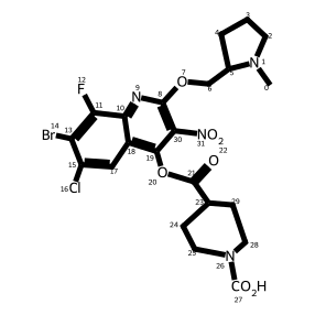 CN1CCCC1COc1nc2c(F)c(Br)c(Cl)cc2c(OC(=O)C2CCN(C(=O)O)CC2)c1[N+](=O)[O-]